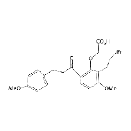 COc1ccc(CCC(=O)c2ccc(OC)c(CCC(C)C)c2OCC(=O)O)cc1